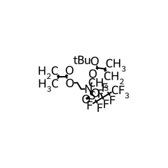 C=C(C)C(=O)OC(C)(C)C.C=C(C)C(=O)OCCN(C)S(=O)(=O)C(F)(F)C(F)(F)C(F)(F)C(F)(F)F